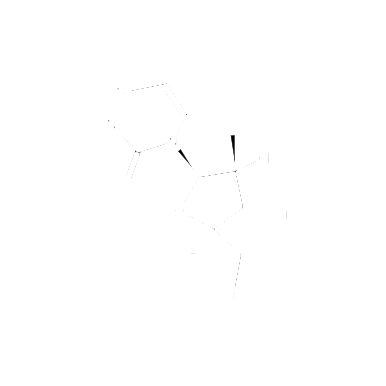 CC(=O)/C=C\N(C(N)=O)[C@@H]1O[C@](F)(CI)[C@@H](O)[C@@]1(C)Cl